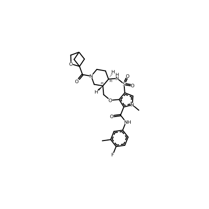 Cc1cc(NC(=O)c2c3c(cn2C)S(=O)(=O)N[C@@H]2CCN(C(=O)C45CC(CO4)C5)C[C@H]2CO3)ccc1F